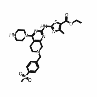 CCOC(=O)c1sc(Nc2nc3c(c(N4CCNCC4)n2)CCN(Cc2ccc(S(C)(=O)=O)cc2)C3)nc1C